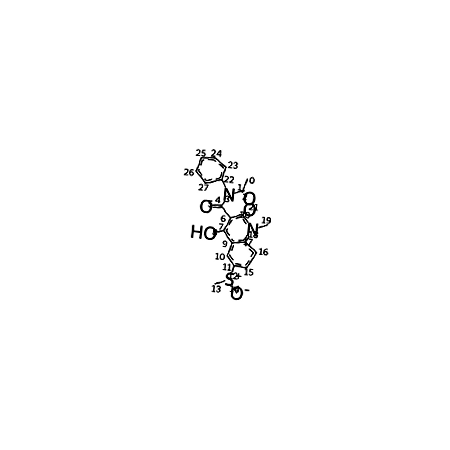 CC(=O)N(C(=O)c1c(O)c2cc([S+](C)[O-])ccc2n(C)c1=O)c1ccccc1